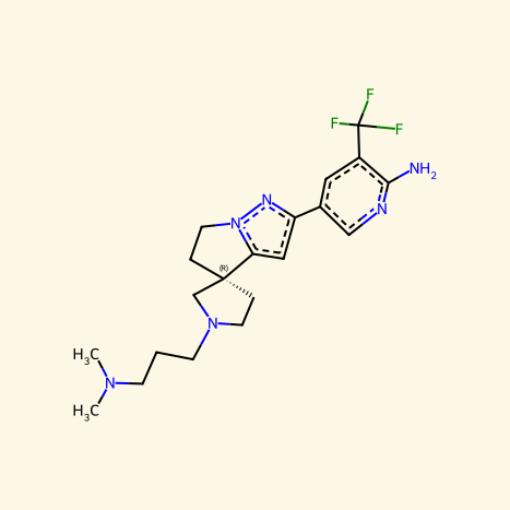 CN(C)CCCN1CC[C@@]2(CCn3nc(-c4cnc(N)c(C(F)(F)F)c4)cc32)C1